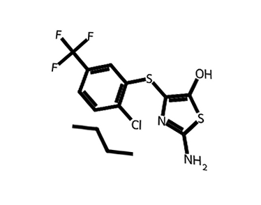 CCCC.Nc1nc(Sc2cc(C(F)(F)F)ccc2Cl)c(O)s1